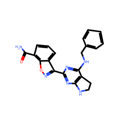 NC(=O)c1cccc2c(-c3nc4c(c(NCc5ccccc5)n3)CCN4)noc12